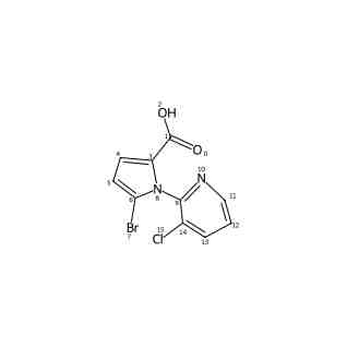 O=C(O)c1ccc(Br)n1-c1ncccc1Cl